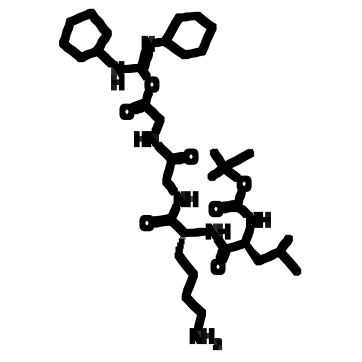 CC(C)C[C@H](NC(=O)OC(C)(C)C)C(=O)N[C@H](CCCCN)C(=O)NCC(=O)NCC(=O)O/C(=N\C1CCCCC1)NC1CCCCC1